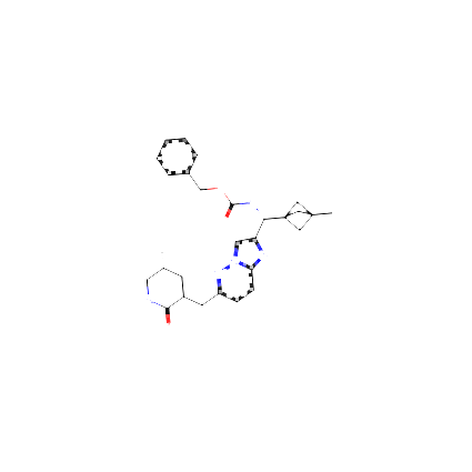 CC12CC([C@H](NC(=O)OCc3ccccc3)c3cn4nc(CC5C[C@@H](C(F)(F)F)CNC5=O)ccc4n3)(C1)C2